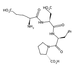 CC(C)C[C@H](NC(=O)[C@H](CC(=O)O)NC(=O)[C@@H](N)CCC(=O)O)C(=O)N1CCC[C@H]1C(=O)O